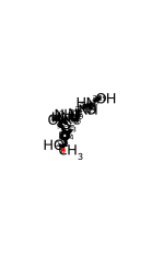 CC(O)Cc1ccc(-c2cc(C(N)=O)c(Nc3cccc(CNCC(=O)NCCO)n3)s2)c(F)c1